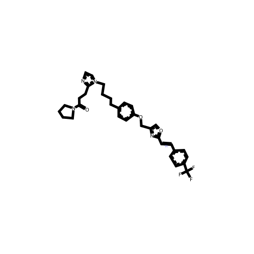 O=C(CCc1nccn1CCCCc1ccc(OCc2coc(/C=C/c3ccc(C(F)(F)F)cc3)n2)cc1)N1CCCC1